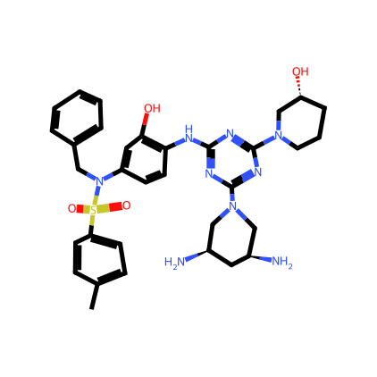 Cc1ccc(S(=O)(=O)N(Cc2ccccc2)c2ccc(Nc3nc(N4C[C@H](N)C[C@H](N)C4)nc(N4CCC[C@@H](O)C4)n3)c(O)c2)cc1